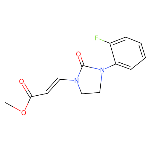 COC(=O)/C=C/N1CCN(c2ccccc2F)C1=O